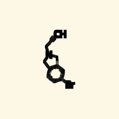 C#CCN1Cc2ccc(Br)cc2C1